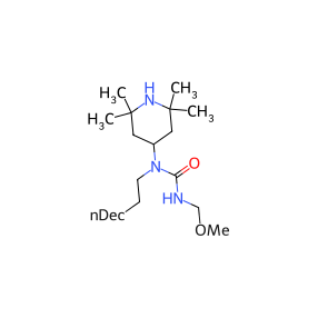 CCCCCCCCCCCCN(C(=O)NCOC)C1CC(C)(C)NC(C)(C)C1